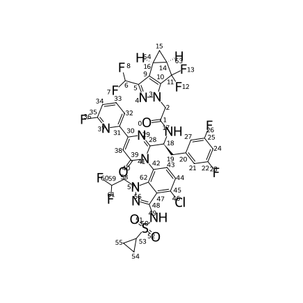 O=C(Cn1nc(C(F)F)c2c1C(F)(F)[C@@H]1C[C@H]21)N[C@@H](Cc1cc(F)cc(F)c1)c1nc(-c2cccc(F)n2)cc(=O)n1-c1ccc(Cl)c2c(NS(=O)(=O)C3CC3)nn(CC(F)F)c12